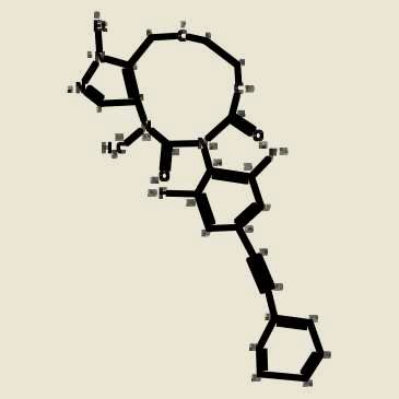 CCn1ncc2c1CCCCCC(=O)N(c1c(F)cc(C#Cc3ccccc3)cc1F)C(=O)N2C